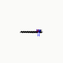 CCCCCCCCCCCCCCCCCC(=O)NC(CC)NC